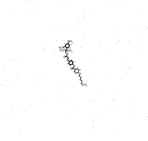 C=CCCCCOC1CCC(C(=O)Oc2ccc(/C=C/C(=O)OCC(C)(C)c3ccc(N)cc3N)cc2)CC1